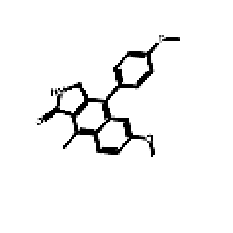 COc1ccc(-c2c3c(c(C)c4ccc(OC)cc24)C(=O)NC3)cc1